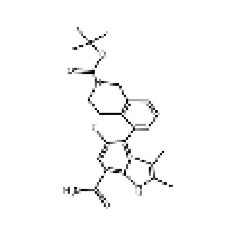 Cc1[nH]c2c(C(N)=O)cc(F)c(-c3cccc4c3CCN(C(=O)OC(C)(C)C)C4)c2c1C